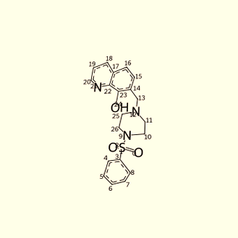 O=S(=O)(c1ccccc1)N1CCN(Cc2ccc3cccnc3c2O)CC1